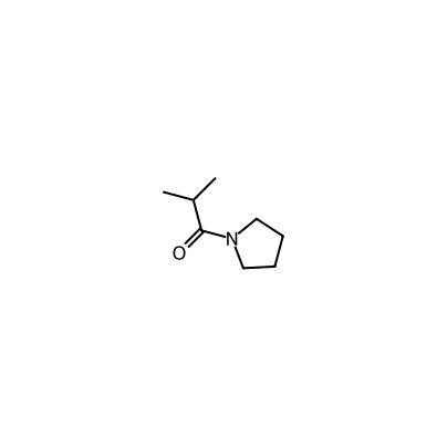 CC(C)C(=O)N1CCCC1